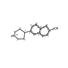 N#Cc1ccc2cc(C3CCNCC3)ccc2c1